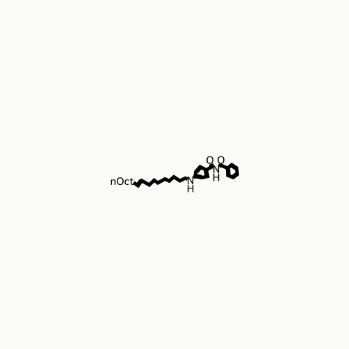 CCCCCCCCC=CCCCCCCCCNc1ccc(C(=O)NC(=O)c2ccccc2)cc1